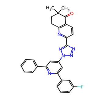 CC1(C)CCc2nc(-c3nnn(-c4cc(-c5ccccc5)nc(-c5cccc(F)c5)c4)n3)ccc2C1=O